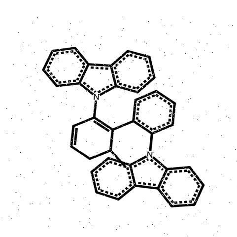 CC1CC=CC(n2c3ccccc3c3ccccc32)=C1c1ccccc1-n1c2ccccc2c2ccccc21